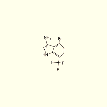 Nc1n[nH]c2c(C(F)(F)F)ccc(Br)c12